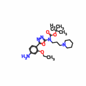 CCOc1cc(N)ccc1-c1nnc(N(CCCN2CCCCC2)C(=O)OC(C)(C)C)o1